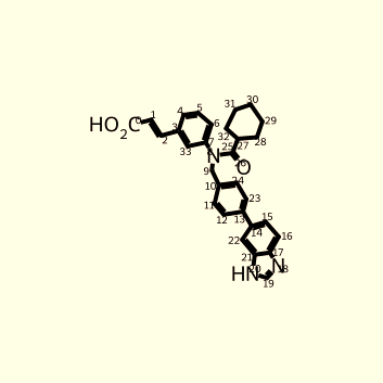 O=C(O)/C=C/c1cccc(N(Cc2ccc(-c3ccc4nc[nH]c4c3)cc2)C(=O)C2CCCCC2)c1